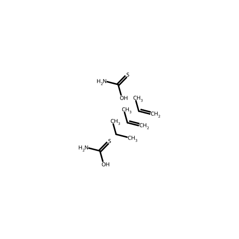 C=CC.C=CC.CCC.NC(O)=S.NC(O)=S